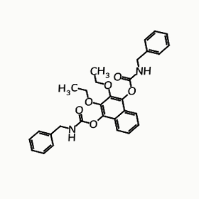 CCOc1c(OCC)c(OC(=O)NCc2ccccc2)c2ccccc2c1OC(=O)NCc1ccccc1